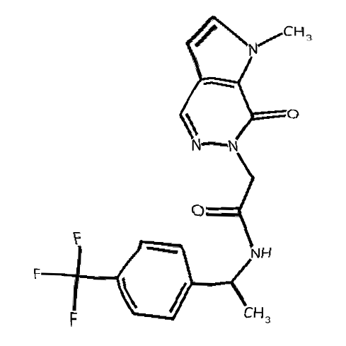 CC(NC(=O)Cn1ncc2ccn(C)c2c1=O)c1ccc(C(F)(F)F)cc1